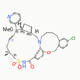 CO[C@@]1(c2cccnc2)/C=C/C[C@H](C)[C@@H](C)S(=O)(=O)NC(=O)c2ccc3c(c2)N(CCCCc2cc(Cl)ccc2CO3)C[C@@H]2CC[C@H]21